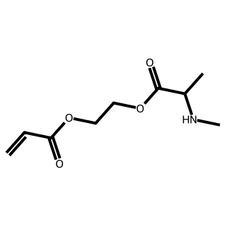 C=CC(=O)OCCOC(=O)C(C)NC